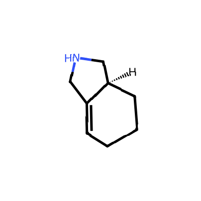 C1=C2CNC[C@H]2CCC1